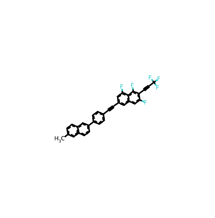 Cc1ccc2cc(-c3ccc(C#Cc4cc(F)c5c(F)c(C#CC(F)(F)F)c(F)cc5c4)cc3)ccc2c1